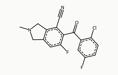 CN1Cc2cc(F)c(C(=O)c3cc(F)ccc3Cl)c(C#N)c2C1